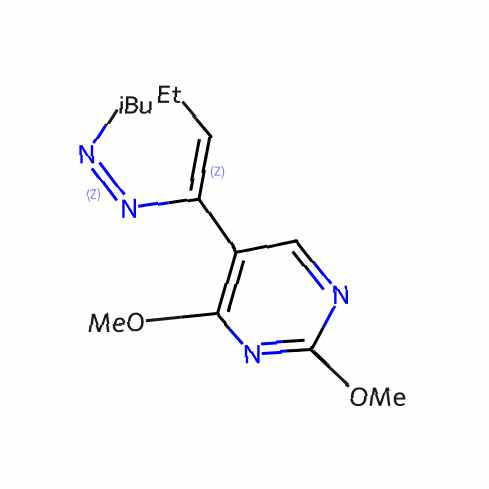 CC/C=C(\N=N/C(C)CC)c1cnc(OC)nc1OC